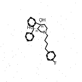 OC(c1ccccc1)[C@H]1CN(CCCCc2ccc(F)cc2)CC[C@]1(O)c1ccccc1